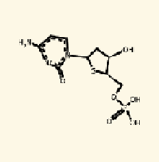 Nc1ccn(C2C[C@@H](O)[C@@H](COP(=O)(O)O)S2)c(=O)n1